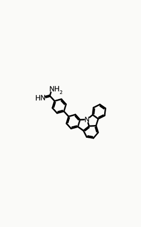 N=C(N)c1ccc(-c2ccc3c4cccc5c6ccccc6n(c3c2)c54)cc1